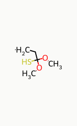 [CH2]CC(S)(OC)OC